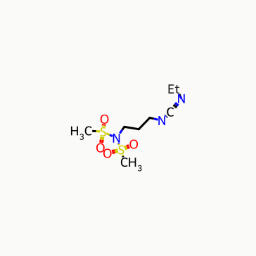 CCN=C=NCCCN(S(C)(=O)=O)S(C)(=O)=O